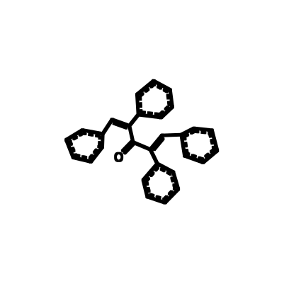 O=C(C(=Cc1ccccc1)c1ccccc1)C(=Cc1ccccc1)c1ccccc1